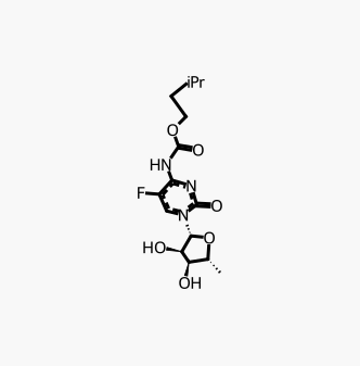 CC(C)CCOC(=O)Nc1nc(=O)n([C@@H]2O[C@H](C)[C@@H](O)[C@H]2O)cc1F